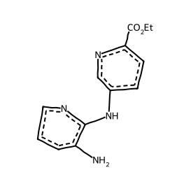 CCOC(=O)c1ccc(Nc2ncccc2N)cn1